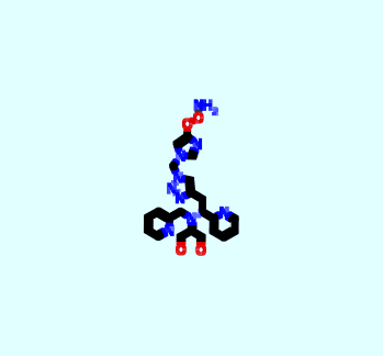 NOOc1cn(Cn2cc(CC(c3ccccn3)[N+](Cc3ccccn3)=C(C=O)C=O)nn2)cn1